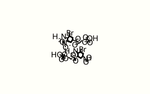 Nc1c(Br)cc(S(=O)(=O)CCOS(=O)(=O)O)cc1[N+](=O)[O-].Nc1c(Br)cc([N+](=O)[O-])cc1S(=O)(=O)CCOS(=O)(=O)O